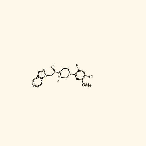 COc1cc(N2CCN(C(=O)Cn3ncc4cnccc43)[C@@H](C)C2)c(F)cc1Cl